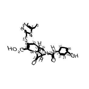 Cc1nnc(SC2=C(C(=O)O)N3C(=O)[C@@H]4[C@H]3[C@H](C2)CN4C(=O)Nc2ccc(O)cc2)s1